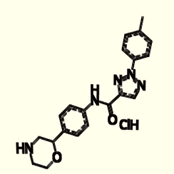 Cc1ccc(-n2ncc(C(=O)Nc3ccc(C4CNCCO4)cc3)n2)cc1.Cl